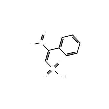 O=[N+]([O-])/C(=[C]/S(=O)(=O)O)c1ccccc1